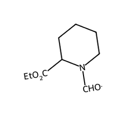 CCOC(=O)C1CCCCN1[C]=O